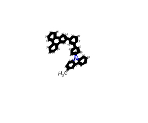 Cc1ccc2c(c1)c1ccccc1n2-c1ccc(-c2cccc(-c3ccc4c5ccccc5c5ccccc5c4c3)c2)cc1